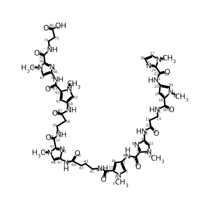 Cn1cc(NC(=O)c2nc(NC(=O)CCNC(=O)c3cc(NC(=O)c4nccn4C)cn3C)cn2C)cc1C(=O)NCCCC(=O)Nc1cn(C)c(C(=O)NCCC(=O)Nc2cc(C(=O)Nc3cn(C)c(C(=O)NCCC(=O)O)n3)n(C)c2)n1